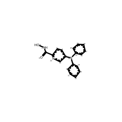 O=C(NO)c1ccc(N(c2ccccc2)c2ccccc2)cn1